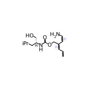 C=C/C=C(\C=C/N)COC(=O)N[C@@H](CO)CC(C)C